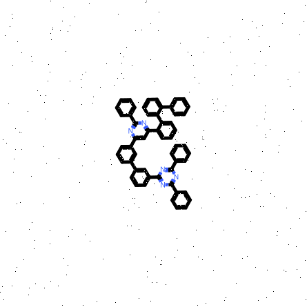 c1ccc(-c2nc(-c3cccc(-c4cccc(-c5nc(-c6ccccc6)nc(-c6ccccc6)n5)c4)c3)cc(-c3ccccc3-c3ccccc3-c3ccccc3)n2)cc1